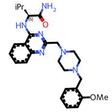 COc1ccccc1CN1CCN(Cc2nc(N[C@H](C(N)=O)C(C)C)c3ccccc3n2)CC1